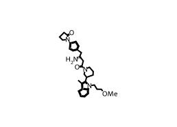 COCCCn1c(C2CCCN(C(=O)C[C@H](N)Cc3ccc(N4CCCC4=O)cc3)C2)c(C)c2ccccc21